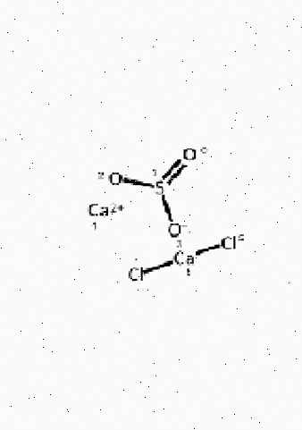 O=S([O-])[O-].[Ca+2].[Cl][Ca][Cl]